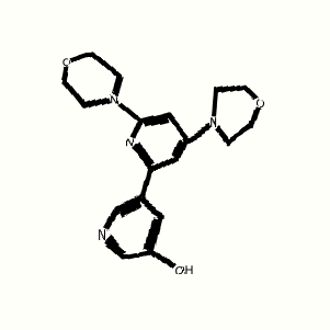 Oc1cncc(-c2cc(N3CCOCC3)cc(N3CCOCC3)n2)c1